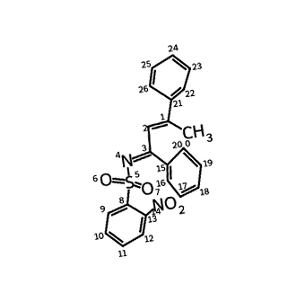 C/C(=C\C(=N\S(=O)(=O)c1ccccc1[N+](=O)[O-])c1ccccc1)c1ccccc1